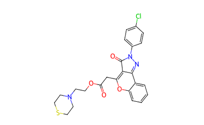 O=C(Cc1oc2ccccc2c2nn(-c3ccc(Cl)cc3)c(=O)c1-2)OCCN1CCSCC1